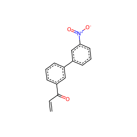 C=CC(=O)c1cccc(-c2cccc([N+](=O)[O-])c2)c1